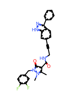 Cc1c(C(=O)NCC#Cc2ccc3c(-c4ccccc4)n[nH]c3c2)c(=O)n(Cc2ccc(F)c(F)c2)n1C